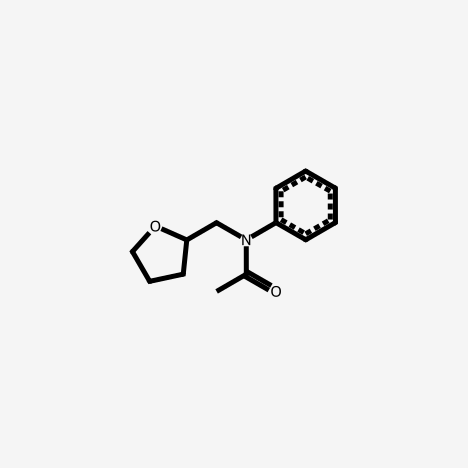 CC(=O)N(CC1CCCO1)c1ccccc1